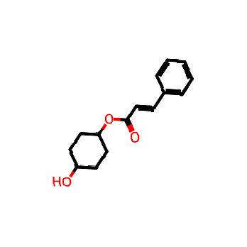 O=C(C=Cc1ccccc1)OC1CCC(O)CC1